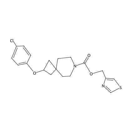 O=C(OCc1cscn1)N1CCC2(CC1)CC(Oc1ccc(Cl)cc1)C2